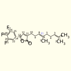 CC(C)=CCC/C(C)=C/CCC1=C[C@@H](c2cc(F)c(F)c(F)c2)OC1=O